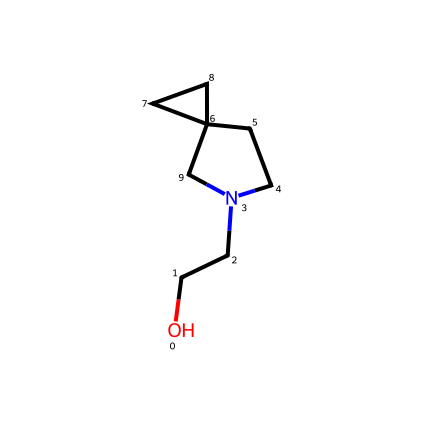 OCCN1CCC2(CC2)C1